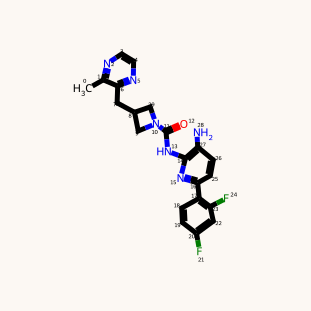 Cc1nccnc1CC1CN(C(=O)Nc2nc(-c3ccc(F)cc3F)ccc2N)C1